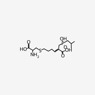 CC(C)CP(=O)(O)C/C(=C\CCCSCC(N)C(=O)O)C(=O)O